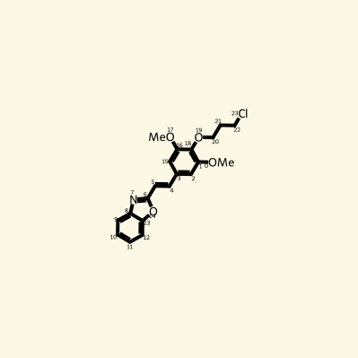 COc1cc(/C=C/c2nc3ccccc3o2)cc(OC)c1OCCCCl